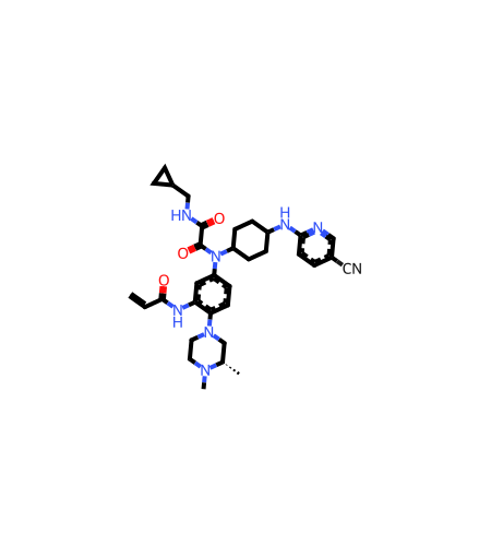 C=CC(=O)Nc1cc(N(C(=O)C(=O)NCC2CC2)C2CCC(Nc3ccc(C#N)cn3)CC2)ccc1N1CCN(C)[C@@H](C)C1